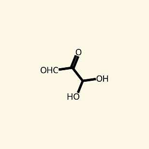 O=CC(=O)C(O)O